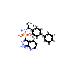 CC(NS(=O)(=O)c1n[nH]c2ncccc12)c1ccc(-c2ccccc2)cc1